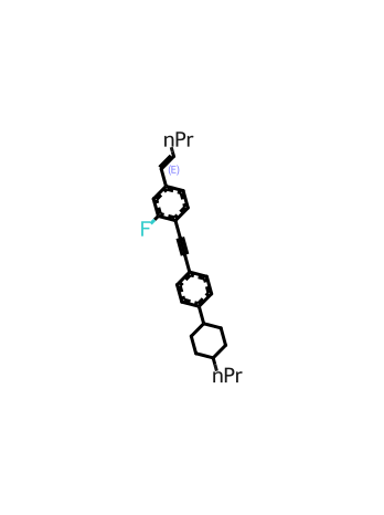 CCC/C=C/c1ccc(C#Cc2ccc(C3CCC(CCC)CC3)cc2)c(F)c1